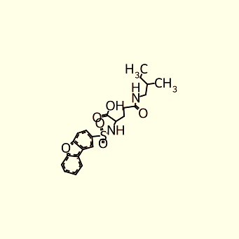 CCC(C)CNC(=O)CCC(NS(=O)(=O)c1ccc2oc3ccccc3c2c1)C(=O)O